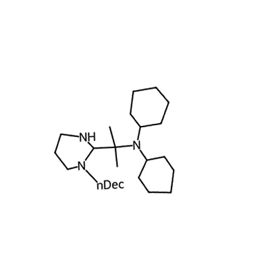 CCCCCCCCCCN1CCCNC1C(C)(C)N(C1CCCCC1)C1CCCCC1